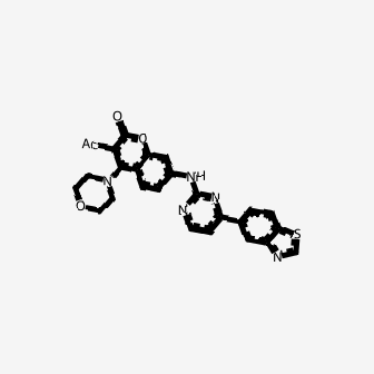 CC(=O)c1c(N2CCOCC2)c2ccc(Nc3nccc(-c4ccc5scnc5c4)n3)cc2oc1=O